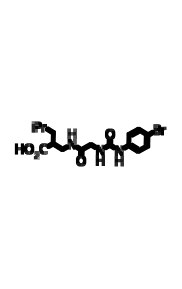 CC(C)CC(CNC(=O)CNC(=O)Nc1ccc(Br)cc1)C(=O)O